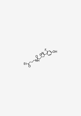 CCC(=O)CCCNC(=O)CC1CC(c2ccc(O)cc2F)=NO1